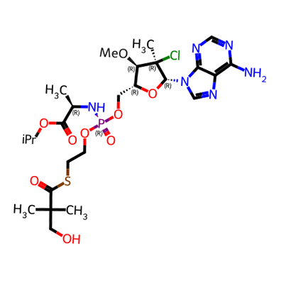 CO[C@@H]1[C@@H](CO[P@](=O)(N[C@H](C)C(=O)OC(C)C)OCCSC(=O)C(C)(C)CO)O[C@@H](n2cnc3c(N)ncnc32)[C@]1(C)Cl